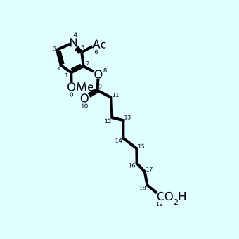 COc1ccnc(C(C)=O)c1OC(=O)CCCCCCCCC(=O)O